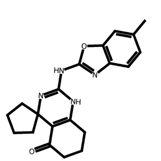 Cc1ccc2nc(NC3=NC4(CCCC4)C4=C(CCCC4=O)N3)oc2c1